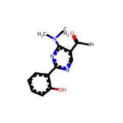 CC(C)C(=O)c1cnc(-c2ccccc2O)nc1N(C)C